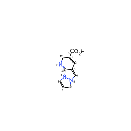 O=C(O)C1=CC2=CN3CC=CN3C2=NC1